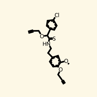 C#CCOc1ccc(CCNC(=S)C(OCC#C)c2ccc(Cl)cc2)cc1OC